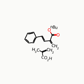 C=C(C)C(=O)O.C=C(C=Cc1ccccc1)C(=O)OCCCC